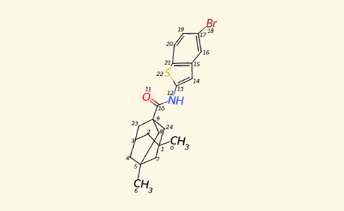 CC12CC3CC(C)(C1)CC(C(=O)Nc1cc4cc(Br)ccc4s1)(C3)C2